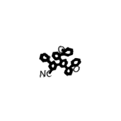 N#Cc1cc(-c2ccccc2)cc(-c2cc(-c3cccc4oc5ccccc5c34)ccc2-c2cccc3oc4ccccc4c23)c1